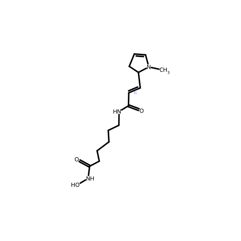 CN1C=CCC1/C=C/C(=O)NCCCCCC(=O)NO